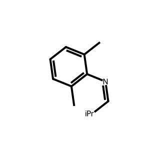 Cc1cccc(C)c1/N=C\C(C)C